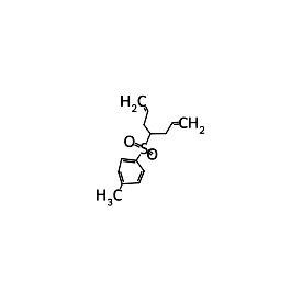 C=CCC(CC=C)S(=O)(=O)c1ccc(C)cc1